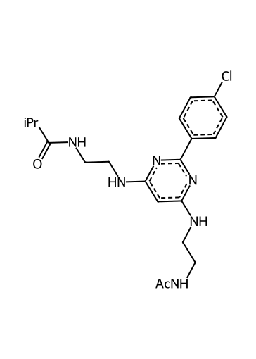 CC(=O)NCCNc1cc(NCCNC(=O)C(C)C)nc(-c2ccc(Cl)cc2)n1